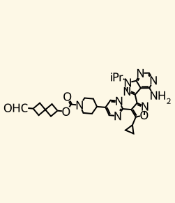 CC(C)n1nc(-c2noc(C3CC3)c2-c2ncc(C3CCN(C(=O)OC4CC5(CC(C=O)C5)C4)CC3)cn2)c2c(N)ncnc21